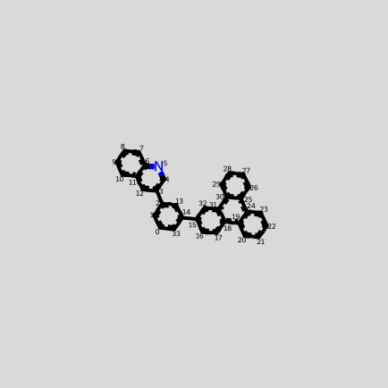 c1cc(-c2cnc3ccccc3c2)cc(-c2ccc3c4ccccc4c4ccccc4c3c2)c1